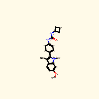 CCCOc1ccc2c(C#N)c(C3=CC=C(NC(=O)NC4CCC4)CC3)n(C(C)C)c2c1